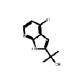 CC(C)(O)c1cc2c(Cl)ccnc2[nH]1